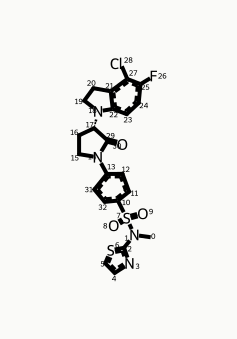 CN(c1nccs1)S(=O)(=O)c1ccc(N2CC[C@H](N3CCc4c3ccc(F)c4Cl)C2=O)cc1